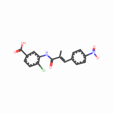 C/C(=C\c1ccc([N+](=O)[O-])cc1)C(=O)Nc1cc(C(=O)O)ccc1Cl